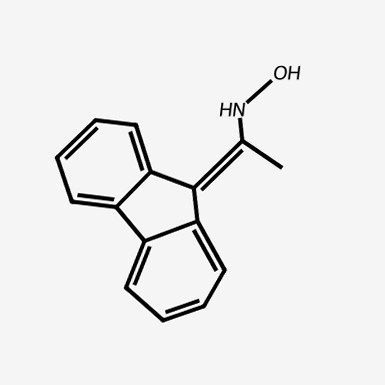 CC(NO)=C1c2ccccc2-c2ccccc21